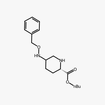 CCCCOC(=O)[C@@H]1CCC(NOCc2ccccc2)CN1